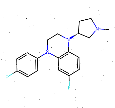 CN1CC[C@H](N2CCN(c3ccc(F)cc3)c3cc(F)ccc32)C1